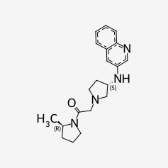 C[C@@H]1CCCN1C(=O)CN1CC[C@H](Nc2cnc3ccccc3c2)C1